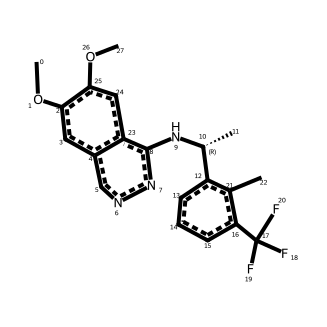 COc1cc2cnnc(N[C@H](C)c3cccc(C(F)(F)F)c3C)c2cc1OC